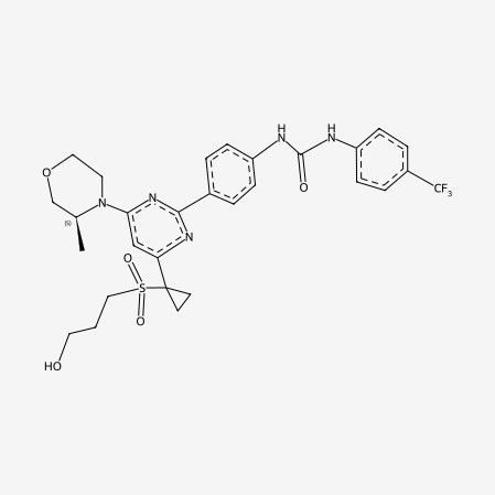 C[C@H]1COCCN1c1cc(C2(S(=O)(=O)CCCO)CC2)nc(-c2ccc(NC(=O)Nc3ccc(C(F)(F)F)cc3)cc2)n1